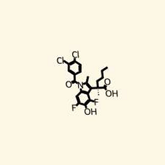 CCCC[C@@](C)(C(=O)O)c1c(C)n(C(=O)c2ccc(Cl)c(Cl)c2)c2cc(F)c(O)c(F)c12